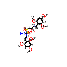 COc1cc(OC)c(/C=C/NS(=O)(=O)CC(=O)/C=C/c2c(OC)cc(OC)cc2OC)c(OC)c1